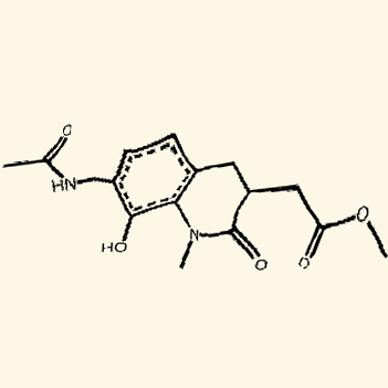 COC(=O)CC1Cc2ccc(NC(C)=O)c(O)c2N(C)C1=O